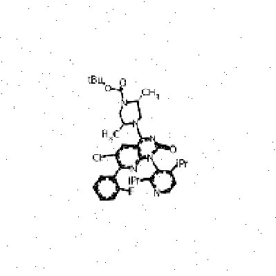 CC(C)c1ccnc(C(C)C)c1-n1c(=O)nc(N2C[C@@H](C)N(C(=O)OC(C)(C)C)C[C@@H]2C)c2cc(Cl)c(-c3ccccc3F)nc21